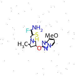 COc1cccn2nc(OC3CC(C)N(C/C(S)=C(/N)F)C3)nc12